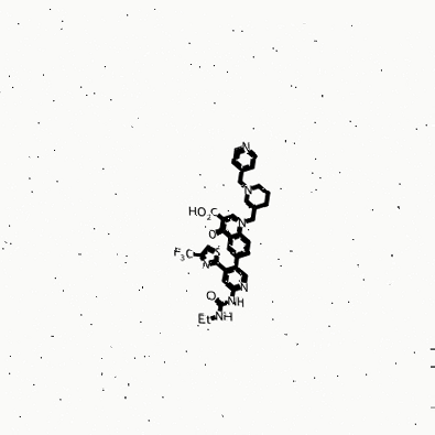 CCNC(=O)Nc1cc(-c2nc(C(F)(F)F)cs2)c(-c2ccc3c(c2)c(=O)c(C(=O)O)cn3CC2CCCN(Cc3ccncc3)C2)cn1